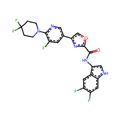 O=C(Nc1c[nH]c2cc(F)c(F)cc12)c1nc(-c2cnc(N3CCC(F)(F)CC3)c(F)c2)co1